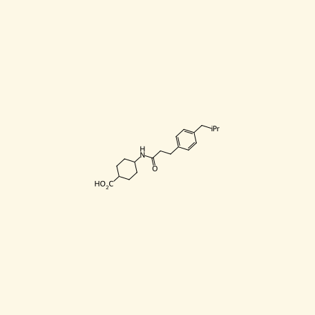 CC(C)Cc1ccc(CCC(=O)NC2CCC(C(=O)O)CC2)cc1